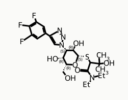 CCN(CC)C(=O)C(S[C@@H]1O[C@H](CO)[C@H](O)[C@H](n2cc(-c3cc(F)c(F)c(F)c3)nn2)[C@H]1O)C(C)(C)O